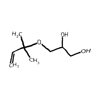 C=CC(C)(C)OCC(O)CO